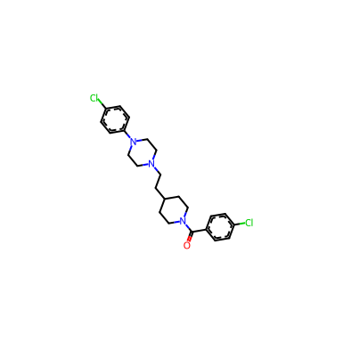 O=C(c1ccc(Cl)cc1)N1CCC(CCN2CCN(c3ccc(Cl)cc3)CC2)CC1